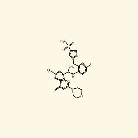 Cc1cc(C(C)Nc2ccc(F)cc2Cn2cc(S(C)(=O)=O)cn2)c2oc(N3CCOCC3)cc(=O)c2c1